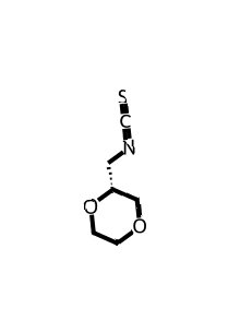 S=C=NC[C@@H]1COCCO1